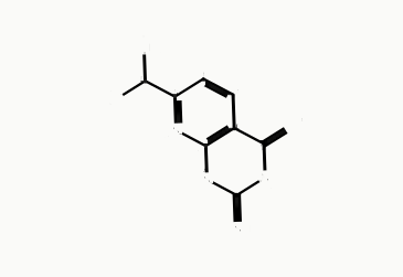 CC(C)c1ccc2c(=O)[nH]c(=N)[nH]c2n1